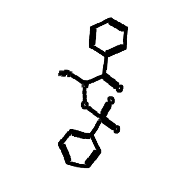 CCCN(OS(=O)(=O)c1ccccc1)C(=O)c1ccccc1